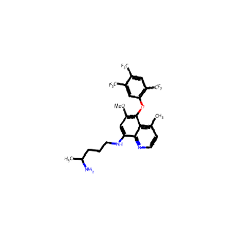 COc1cc(NCCCC(C)N)c2nccc(C)c2c1Oc1cc(C(F)(F)F)c(C(F)(F)F)cc1C(F)(F)F